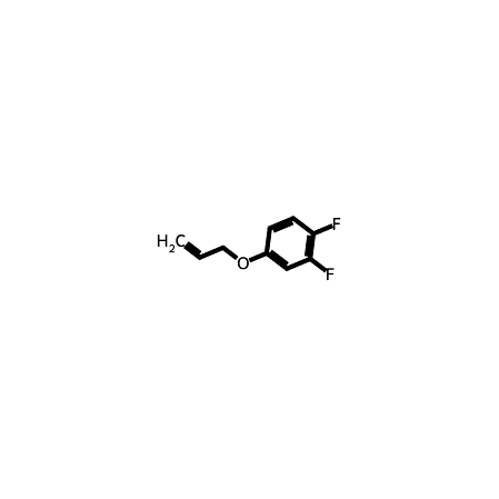 C=CCOc1ccc(F)c(F)c1